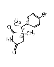 C[C@H](c1ccc(Br)cc1)[C@]1(C)CC(=O)NC1=O